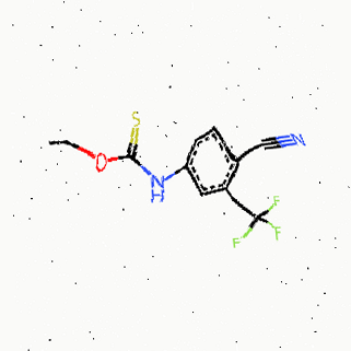 CCOC(=S)Nc1ccc(C#N)c(C(F)(F)F)c1